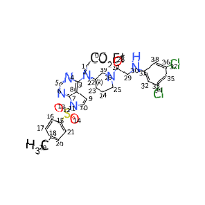 CCOC(=O)CN(c1ncnc2c1ccn2S(=O)(=O)c1ccc(C)cc1)[C@@H]1CCCN(C(=O)CNc2cc(Cl)cc(Cl)c2)C1